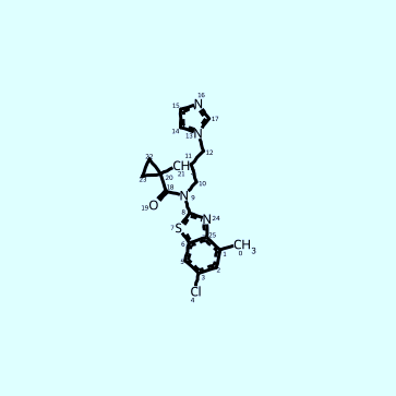 Cc1cc(Cl)cc2sc(N(CCCn3ccnc3)C(=O)C3(C)CC3)nc12